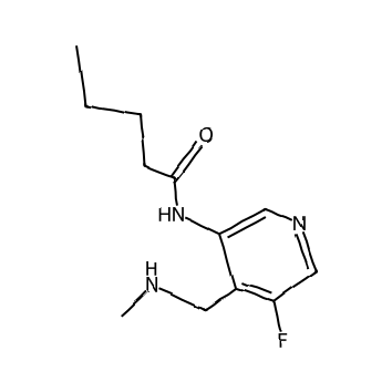 CCCCC(=O)Nc1cncc(F)c1CNC